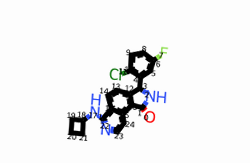 O=C1NC(c2cc(F)ccc2Cl)c2ccc3c(NC4CCC4)nccc3c21